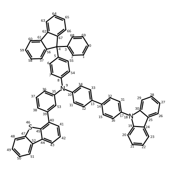 c1ccc(C2(c3ccc(N(c4ccc(-c5ccc(-n6c7ccccc7c7ccccc76)cc5)cc4)c4cccc(-c5cccc6c5sc5ccccc56)c4)cc3)c3ccccc3-c3ccccc32)cc1